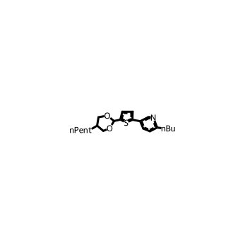 CCCCCC1COC(c2ccc(-c3ccc(CCCC)nc3)s2)OC1